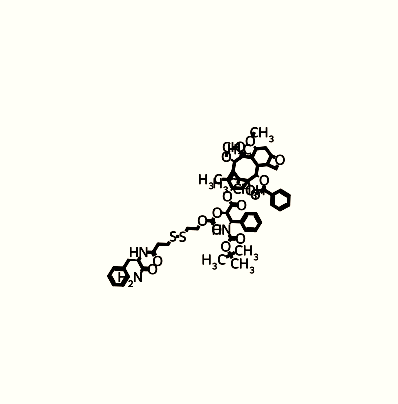 CO[C@H]1C(=O)[C@@]2(C)C(C3COC3C[C@@H]2OC)[C@H](OC(=O)c2ccccc2)[C@]2(O)C[C@H](OC(=O)[C@H](OC(=O)OCCSSCCC(=O)N[C@H](Cc3ccccc3)C(N)=O)[C@@H](NC(=O)OC(C)(C)C)c3ccccc3)C(C)=C1C2(C)C